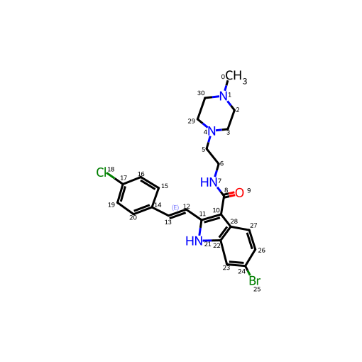 CN1CCN(CCNC(=O)c2c(/C=C/c3ccc(Cl)cc3)[nH]c3cc(Br)ccc23)CC1